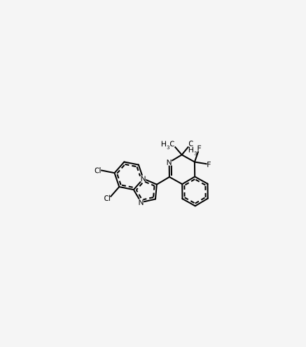 CC1(C)N=C(c2cnc3c(Cl)c(Cl)ccn23)c2ccccc2C1(F)F